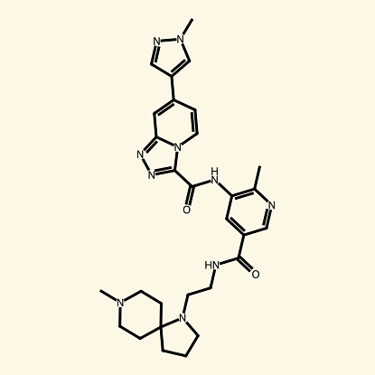 Cc1ncc(C(=O)NCCN2CCCC23CCN(C)CC3)cc1NC(=O)c1nnc2cc(-c3cnn(C)c3)ccn12